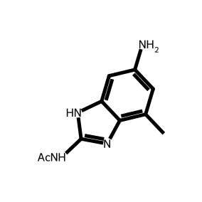 CC(=O)Nc1nc2c(C)cc(N)cc2[nH]1